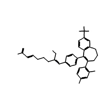 CC/C(=C\c1ccc(C2=C(c3ccc(Cl)cc3I)CCCc3cc(C(C)(O)O)ccc32)cc1)CCC/C=C/C(C)=O